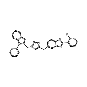 Fc1ccccc1-c1nc2ccn(Cc3cn(Cc4nc5ccccc5n4-c4ccccc4)nn3)cc-2n1